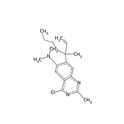 C=CC(C)(CCCC)c1cc2nc(C)nc(Cl)c2cc1N(C)C